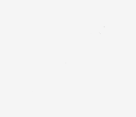 CCC(CC)(c1ccc(OCC(=O)NO)cc1)c1ccc(OCCC(C)(C)C)c(C)c1